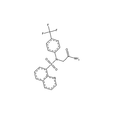 NC(=O)CN(c1ccc(C(F)(F)F)cc1)S(=O)(=O)c1cccc2cccnc12